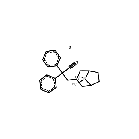 C[N+]1(C)C2CCC1CC(CC(C#N)(c1ccccc1)c1ccccc1)C2.[Br-]